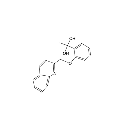 CC(O)(O)c1ccccc1OCc1ccc2ccccc2n1